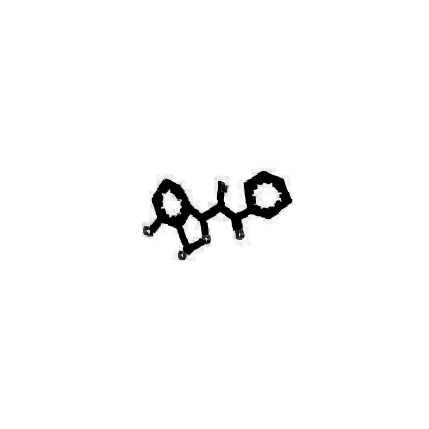 O=C1OC(C(Br)C(=O)c2ccccc2)c2cccc(Cl)c21